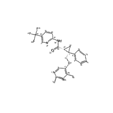 Cc1ncc(OC[C@@]2(c3ccccc3)C[C@H]2C(=O)Nc2ccc(C(F)(F)F)cn2)c(C)n1